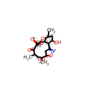 CC1CC(C)C2(O)CC(=NO2)C2C(O)C3OC4=C(C(=O)OC42CC3C)C1=O